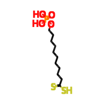 O=P(O)(O)OCCCCCCCCCCC(=S)S